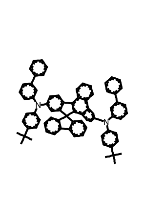 CC(C)(C)c1ccc(N(c2cccc(-c3ccccc3)c2)c2ccc3c(c2)C2(c4ccccc4-c4ccccc42)c2c-3c3ccccc3c3cc(N(c4ccc(C(C)(C)C)cc4)c4cccc(-c5ccccc5)c4)ccc23)cc1